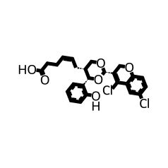 O=C(O)CC/C=C\C[C@@H]1CO[C@H](C2=C(Cl)c3cc(Cl)ccc3OC2)O[C@@H]1c1ccccc1O